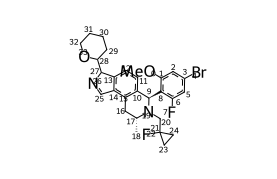 COc1cc(Br)cc(F)c1[C@@H]1c2ccc3c(c2C[C@@H](C)N1CC1(F)CC1)C=NC3C1CCCCO1